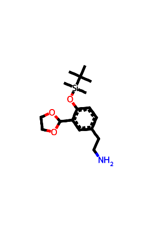 CC(C)(C)[Si](C)(C)Oc1ccc(CCN)cc1C1OCCO1